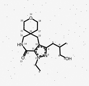 CCn1nc(CC(C)CO)c2c1C(=O)NCC1(CCOCC1)C2